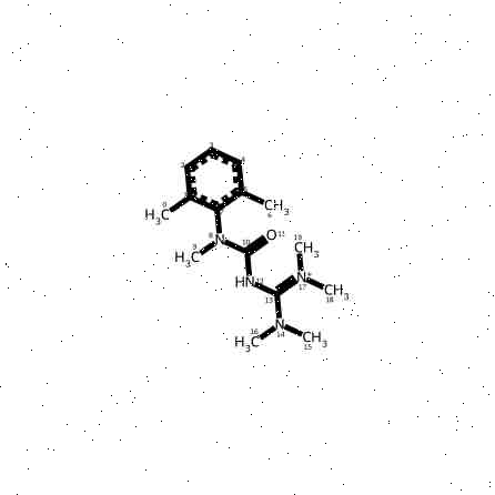 Cc1cccc(C)c1N(C)C(=O)NC(N(C)C)=[N+](C)C